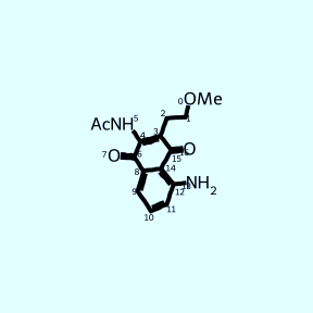 COCCC1=C(NC(C)=O)C(=O)c2cccc(N)c2C1=O